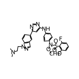 CN(C)CCn1ncc2cc(-c3cc(Nc4ccc(N(OC=O)S(=O)(=O)c5c(F)cccc5F)cc4)ncn3)ccc21